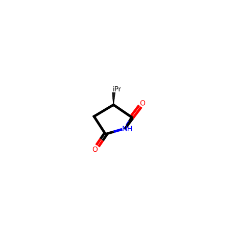 CC(C)[C@@H]1CC(=O)NC1=O